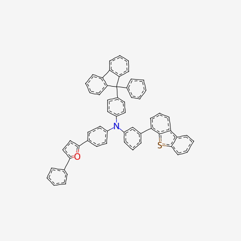 c1ccc(-c2ccc(-c3ccc(N(c4ccc(C5(c6ccccc6)c6ccccc6-c6ccccc65)cc4)c4cccc(-c5cccc6c5sc5ccccc56)c4)cc3)o2)cc1